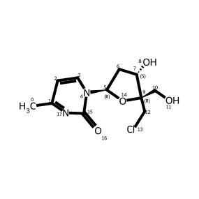 Cc1ccn([C@H]2C[C@H](O)[C@](CO)(CCl)O2)c(=O)n1